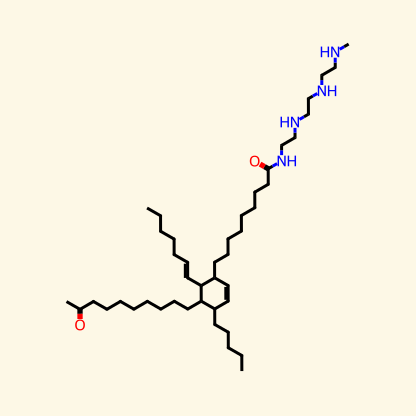 CCCCCC=CC1C(CCCCCCCCC(=O)NCCNCCNCCNC)C=CC(CCCCC)C1CCCCCCCCC(C)=O